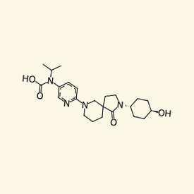 CC(C)N(C(=O)O)c1ccc(N2CCCC3(CCN([C@H]4CC[C@H](O)CC4)C3=O)C2)nc1